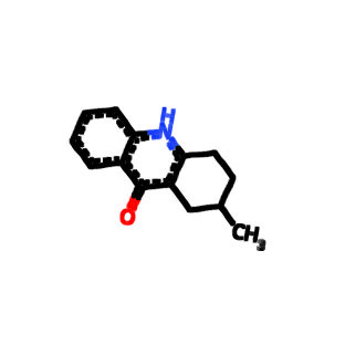 CC1CCc2[nH]c3ccccc3c(=O)c2C1